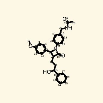 COc1ccc(C2C(CCC(O)c3ccccc3)C(=O)N2c2ccc(CNC(C)=O)cc2)cc1